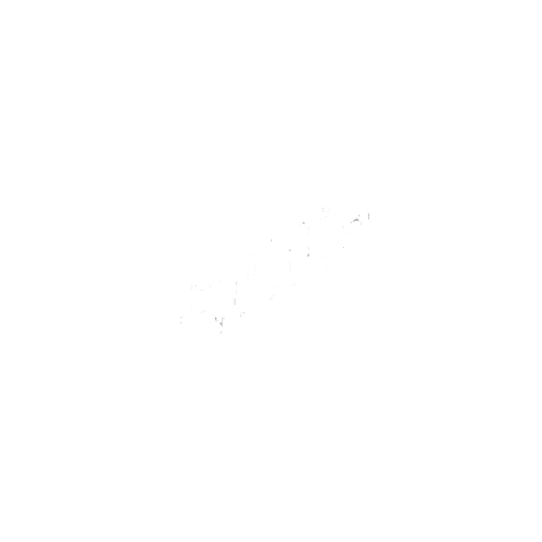 CC[C@H]1CC[C@H](C2CCC(c3ccc(F)nc3)CC2)CC1